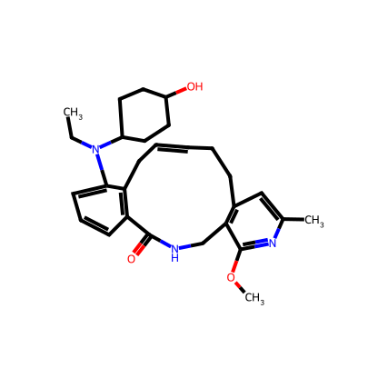 CCN(c1cccc2c1CC=CCCc1cc(C)nc(OC)c1CNC2=O)C1CCC(O)CC1